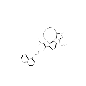 O=C(O)c1c(CCCOc2cccc3ccccc23)c2cccc3c2n1CCCCOCc1[nH]nc(CO)c1-3